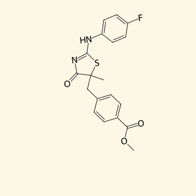 COC(=O)c1ccc(CC2(C)SC(Nc3ccc(F)cc3)=NC2=O)cc1